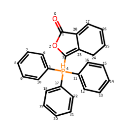 O=C1OC([PH](c2ccccc2)(c2ccccc2)c2ccccc2)=C2CC=CC=C12